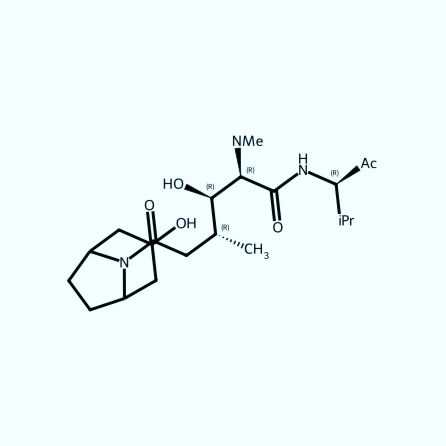 CN[C@@H](C(=O)N[C@@H](C(C)=O)C(C)C)[C@H](O)[C@H](C)CC(=O)N1C2CCC1CC(O)C2